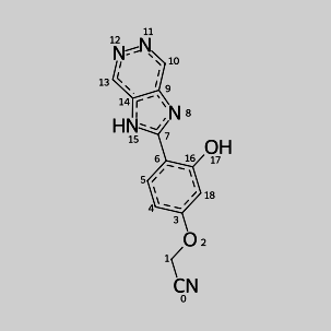 N#CCOc1ccc(-c2nc3cnncc3[nH]2)c(O)c1